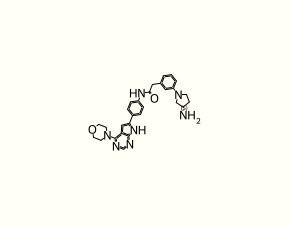 N[C@H]1CCN(c2cccc(CC(=O)Nc3ccc(-c4cc5c(N6CCOCC6)ncnc5[nH]4)cc3)c2)C1